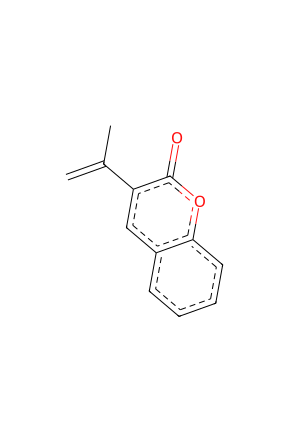 C=C(C)c1cc2ccccc2oc1=O